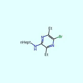 CCCCCCCNc1nc(CC)c(Br)nc1CC